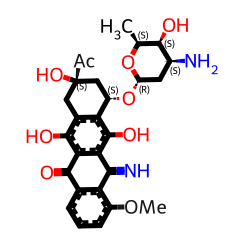 COc1cccc2c1C(=N)c1c(O)c3c(c(O)c1C2=O)C[C@@](O)(C(C)=O)C[C@@H]3O[C@H]1C[C@H](N)[C@H](O)[C@H](C)O1